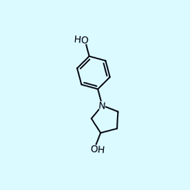 Oc1ccc(N2CCC(O)C2)cc1